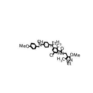 CCN(c1cc(Cl)cc(C(=O)NCc2c(OC)nn(CC)c2C)c1C)C1CCC(N(C)Cc2ccc(OC)cc2)CC1